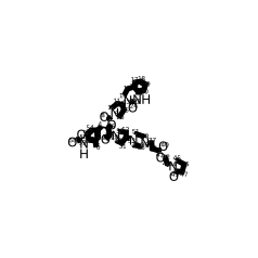 Cc1cc(C[C@@H](OC(=O)N2CCC(N3CCc4ccccc4NC3=O)CC2)C(=O)N2CCC(N3CCN(CCC(=O)OCCN4CCCC4=O)CC3)CC2)cc2oc(=O)[nH]c12